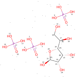 O=P(O)(O)O.O=P(O)(O)O.O=P(O)(O)O.OC[C@@H](O)[C@H]1O[C@H](O)[C@@H](O)[C@H]1O